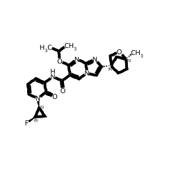 CC(C)Oc1nc2nc([C@@]34CC[C@@](C)(C3)OC4)cn2cc1C(=O)Nc1cccn([C@H]2C[C@H]2F)c1=O